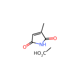 CC(=O)O.CC1=CC(=O)NC1=O